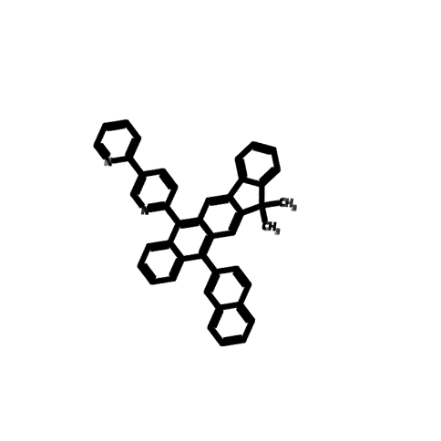 CC1(C)c2ccccc2-c2cc3c(-c4ccc(-c5ccccn5)cn4)c4ccccc4c(-c4ccc5ccccc5c4)c3cc21